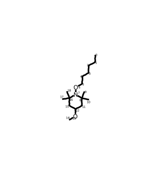 CCCCCCON1C(C)(C)CC(OC)CC1(C)C